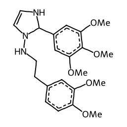 COc1ccc(CCNN2C=CNC2c2cc(OC)c(OC)c(OC)c2)cc1OC